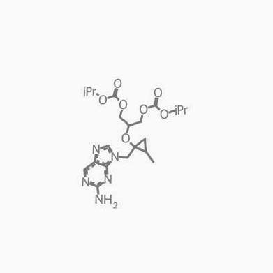 CC(C)OC(=O)OC[C](COC(=O)OC(C)C)OC1(Cn2cnc3cnc(N)nc32)CC1C